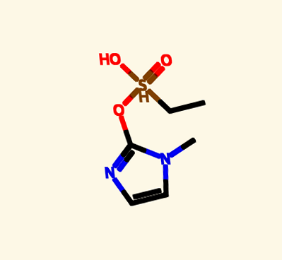 CC[SH](=O)(O)Oc1nccn1C